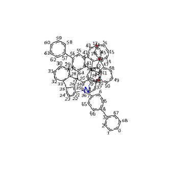 c1ccc(-c2ccc(N(c3ccc(-c4ccccc4)cc3)c3cccc4c3C3(c5ccccc5-4)c4ccccc4C4(c5ccccc5-c5ccccc54)c4ccc(-c5ccccc5)cc43)cc2)cc1